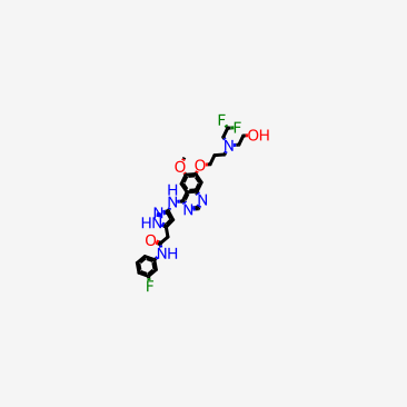 COc1cc2c(Nc3cc(CC(=O)Nc4cccc(F)c4)[nH]n3)ncnc2cc1OCCCN(CCO)CC(F)F